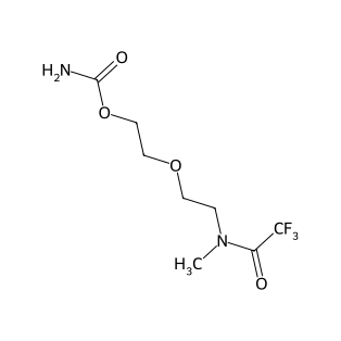 CN(CCOCCOC(N)=O)C(=O)C(F)(F)F